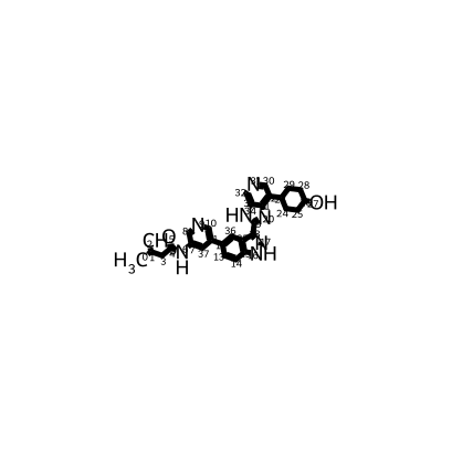 CC(C)CC(=O)Nc1cncc(-c2ccc3[nH]nc(-c4nc5c(C6CCC(O)CC6)cncc5[nH]4)c3c2)c1